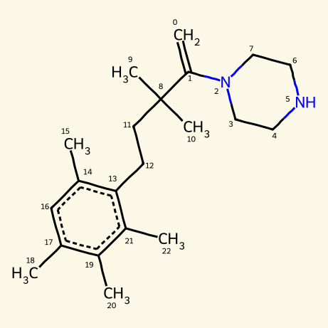 C=C(N1CCNCC1)C(C)(C)CCc1c(C)cc(C)c(C)c1C